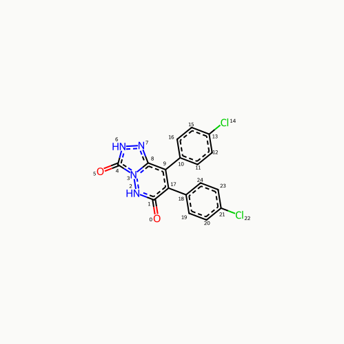 O=c1[nH]n2c(=O)[nH]nc2c(-c2ccc(Cl)cc2)c1-c1ccc(Cl)cc1